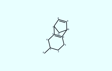 CC1CCC2=C(C1)C1C=CC2C1